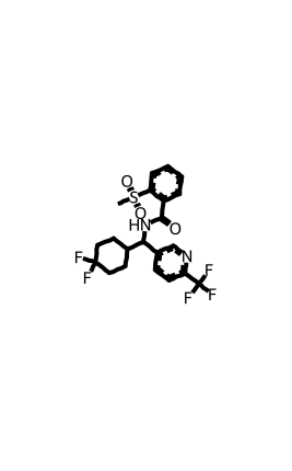 CS(=O)(=O)c1ccccc1C(=O)NC(c1ccc(C(F)(F)F)nc1)C1CCC(F)(F)CC1